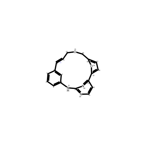 C1=C/c2cccc(c2)Nc2nccc(n2)-c2ccc(o2)COC/1